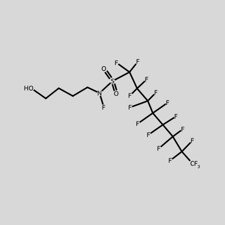 O=S(=O)(N(F)CCCCO)C(F)(F)C(F)(F)C(F)(F)C(F)(F)C(F)(F)C(F)(F)C(F)(F)C(F)(F)F